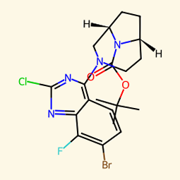 CC(C)(C)OC(=O)N1[C@@H]2CC[C@H]1CN(c1nc(Cl)nc3c(F)c(Br)ccc13)CC2